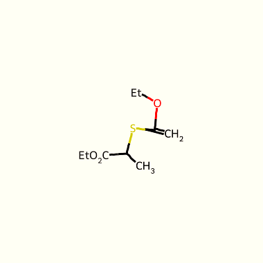 C=C(OCC)SC(C)C(=O)OCC